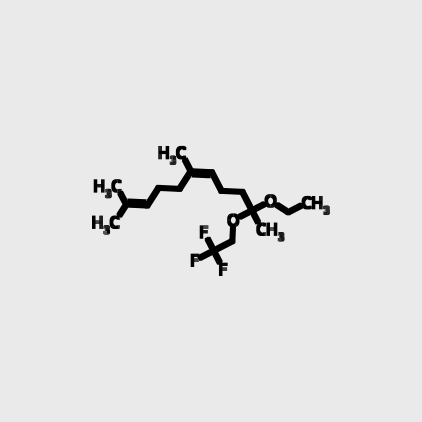 CCOC(C)(CCC=C(C)CCC=C(C)C)OCC(F)(F)F